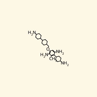 Cc1c(N)c(OCC2CCC(C3CCC(N)CC3)CC2)cc(N)c1C1CCC(N)CC1